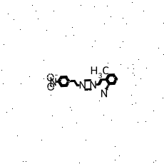 Cc1cccc(C#N)c1C=CN1CCN(CCc2ccc([N+](=O)[O-])cc2)CC1